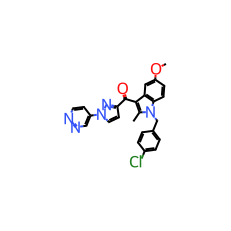 COc1ccc2c(c1)c(C(=O)c1ccn(-c3ccnnc3)n1)c(C)n2Cc1ccc(Cl)cc1